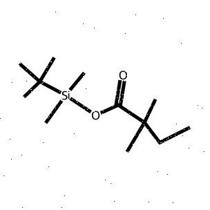 CCC(C)(C)C(=O)O[Si](C)(C)C(C)(C)C